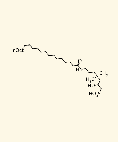 CCCCCCCC/C=C\CCCCCCCCCCCC(=O)NCCC[N+](C)(C)CC(O)CS(=O)(=O)O